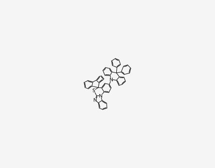 c1ccc(C2(c3ccccc3)c3ccccc3N(c3ccc4c(c3)C3(Sc5nc6ccccc6n5-4)c4ccccc4-c4ccccc43)c3ccccc32)cc1